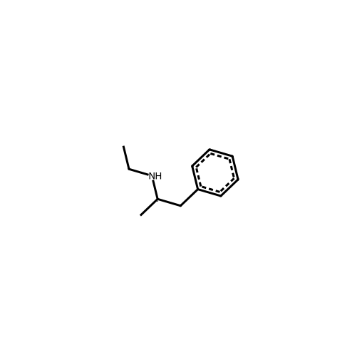 CCN[C](C)Cc1ccccc1